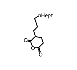 CCCCCCCCCCC1CCC(=O)OC1=O